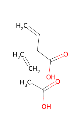 C=C.C=CCC(=O)O.CC(=O)O